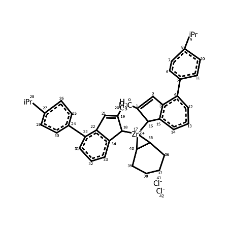 CC1=Cc2c(-c3ccc(C(C)C)cc3)cccc2[CH]1[Zr+2]1([CH]2C(C)=Cc3c(-c4ccc(C(C)C)cc4)cccc32)[CH]2CCCC[CH]21.[Cl-].[Cl-]